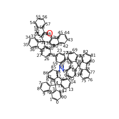 c1ccc(C2(c3ccccc3)c3ccccc3-c3c(N(c4cccc(-c5ccc6c(c5)C5(c7ccccc7-6)c6ccc7ccccc7c6Oc6c5ccc5ccccc65)c4)c4cccc5c4-c4ccccc4C54c5ccccc5-c5ccccc54)cccc32)cc1